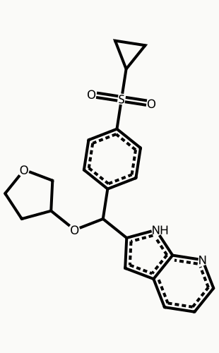 O=S(=O)(c1ccc(C(OC2CCOC2)c2cc3cccnc3[nH]2)cc1)C1CC1